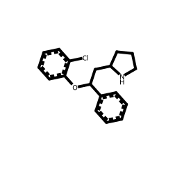 Clc1ccccc1OC(CC1CCCN1)c1ccccc1